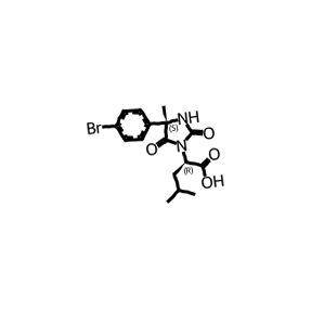 CC(C)C[C@H](C(=O)O)N1C(=O)N[C@@](C)(c2ccc(Br)cc2)C1=O